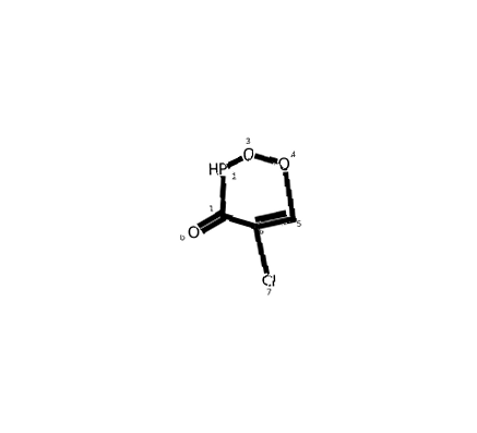 O=C1POOC=C1Cl